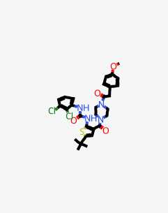 COc1ccc(CC(=O)N2CCN(C(=O)c3cc(C(C)(C)C)sc3NC(=O)Nc3cccc(Cl)c3Cl)CC2)cc1